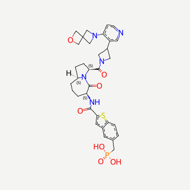 O=C(N[C@H]1CCC[C@H]2CC[C@@H](C(=O)N3CC(c4cnccc4N4CC5(COC5)C4)C3)N2C1=O)c1cc2cc(CP(=O)(O)O)ccc2s1